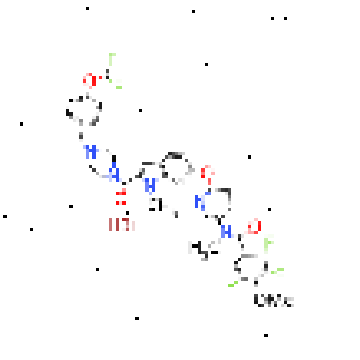 Br.COc1c(F)cc(C(=O)N(C)c2ccc(Oc3ccc4cc(C(=O)N5CCN(Cc6ccc(OC(F)F)cc6)CC5)n(C)c4c3)nc2)c(F)c1F